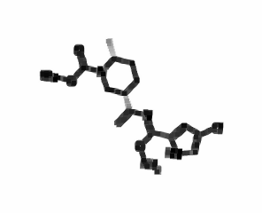 C=C(/N=C(\ON)c1cc(Cl)c[nH]1)[C@H]1CC[C@@H](C)N(C(=O)OC(C)(C)C)C1